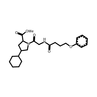 COC(=O)C1CC(C2CCCCC2)CN1C(=O)CNC(=O)CCCOc1ccccc1